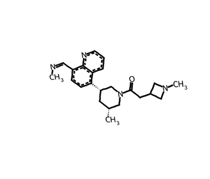 C/N=C\c1ccc([C@H]2C[C@@H](C)CN(C(=O)CC3CN(C)C3)C2)c2cccnc12